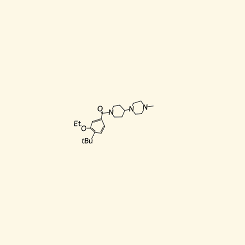 CCOc1cc(C(=O)N2CCC(N3CCN(C)CC3)CC2)ccc1C(C)(C)C